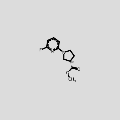 COC(=O)[C@H]1CCN(c2cccc(F)n2)C1